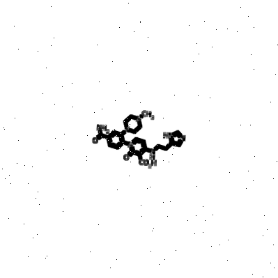 CN1CCN(c2cc(C(N)=O)ccc2-n2ccc(NCCc3cnc[nH]3)c(C(=O)O)c2=O)CC1